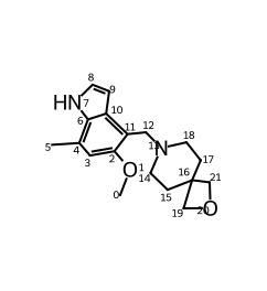 COc1cc(C)c2[nH]ccc2c1CN1CCC2(CC1)COC2